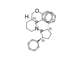 c1ccc([C@@H]2CC[C@@H](c3ccccc3)P2N2CCC[C@H]3COc4ccccc4P32)cc1